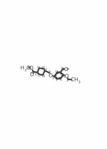 CCOc1ccc(OCC2CCC(C(=O)OC)CC2)cc1C=O